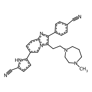 CN1CCCN(CCc2c(-c3ccc(C#N)cc3)nc3ccc(-c4ccc(C#N)[nH]4)cn23)CC1